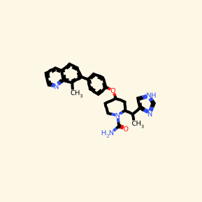 Cc1c(-c2ccc(OC3CCN(C(N)=O)C(C(C)c4c[nH]cn4)C3)cc2)ccc2cccnc12